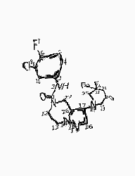 O=C(Nc1ccc(F)c(Cl)c1)N1CCn2ncc(N3CCCC(F)(F)C3)c2C1